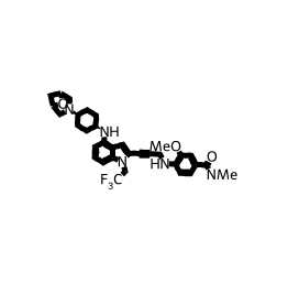 CNC(=O)c1ccc(NCC#Cc2cc3c(N[C@H]4CC[C@H](N5CC6CC(C5)O6)CC4)cccc3n2CC(F)(F)F)c(OC)c1